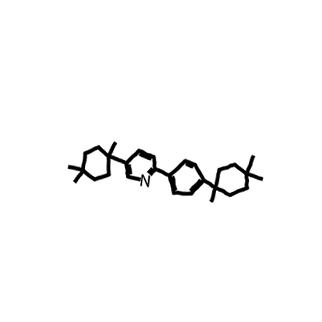 CC1(C)CCC(C)(c2ccc(-c3ccc(C4(C)CCC(C)(C)CC4)cn3)cc2)CC1